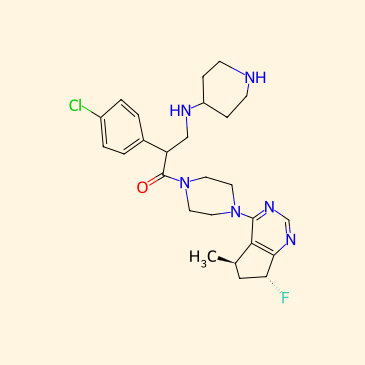 C[C@@H]1C[C@@H](F)c2ncnc(N3CCN(C(=O)C(CNC4CCNCC4)c4ccc(Cl)cc4)CC3)c21